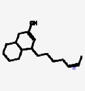 C/C=C\CCCCC1C=C(O)CC2CCCCC12